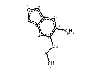 CCOc1cc2cocc2cc1C